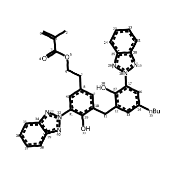 C=C(C)C(=O)OCCc1cc(Cc2cc(CCCC)cc(-n3nc4ccccc4n3)c2O)c(O)c(-n2nc3ccccc3n2)c1